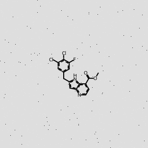 COC(=O)c1ccnc2cc(Cc3cc(F)c(Cl)c(Cl)c3)[nH]c12